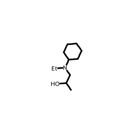 CCN(CC(C)O)C1CCCCC1